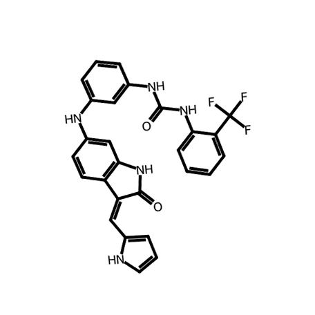 O=C(Nc1cccc(Nc2ccc3c(c2)NC(=O)C3=Cc2ccc[nH]2)c1)Nc1ccccc1C(F)(F)F